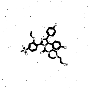 CCOc1cc(S(C)(=O)=O)ccc1C1=NC(c2ccc(Cl)cc2)C(c2ccc(Cl)cc2)N1C(=O)N1CCN(CCO)CC1